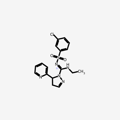 CCN/C(=N\S(=O)(=O)c1cccc(Cl)c1)N1N=CCC1c1ccccn1